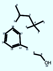 CC(C)CC(C)(C)C.CCO.Cc1ccccc1